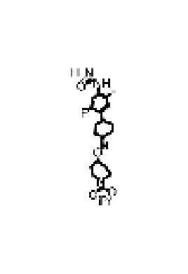 CC(C)OC(=O)N1CCC(ON=C2CCC(c3cc(F)c(NC(N)=O)cc3F)CC2)CC1